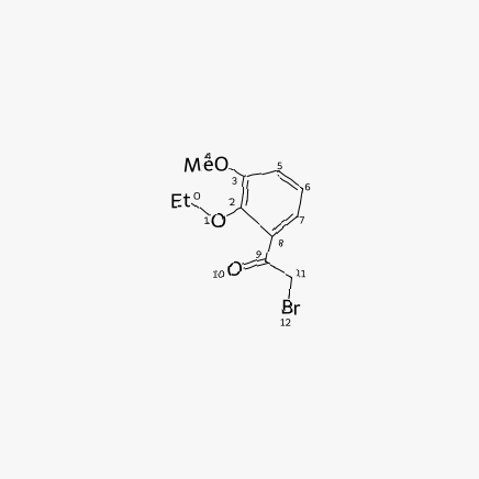 CCOc1c(OC)cccc1C(=O)CBr